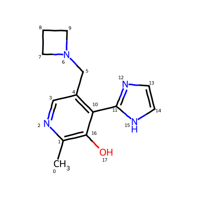 Cc1ncc(CN2CCC2)c(-c2ncc[nH]2)c1O